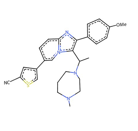 COc1ccc(-c2nc3ccc(-c4csc(C#N)c4)cn3c2C(C)N2CCCN(C)CC2)cc1